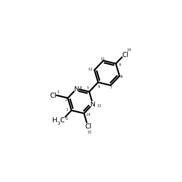 Cc1c(Cl)nc(-c2ccc(Cl)cc2)nc1Cl